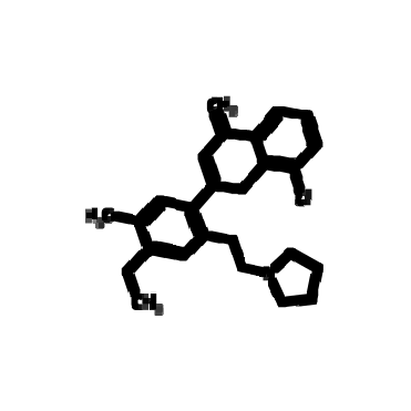 C=C1C=C(c2cc(C)c(CC)cc2CCN2CCCC2)Cc2c(Cl)cccc21